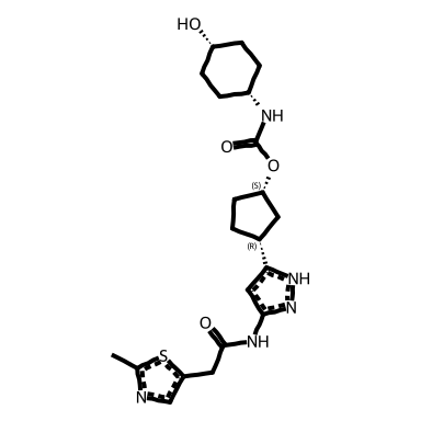 Cc1ncc(CC(=O)Nc2cc([C@@H]3CC[C@H](OC(=O)N[C@H]4CC[C@@H](O)CC4)C3)[nH]n2)s1